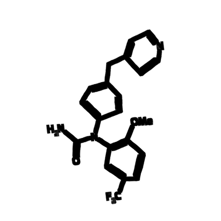 COc1ccc(C(F)(F)F)cc1N(C(N)=O)c1ccc(Cc2ccncc2)cc1